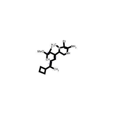 CCC1=C(N)NCC(C(=C/C=C(\C)C2CCC2)/C(F)=C(\C)OC)N1C